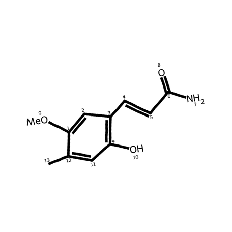 COc1cc(/C=C/C(N)=O)c(O)cc1C